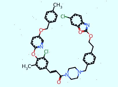 Cc1ccc(COc2ccc(Oc3c(C)cc(C=CC(=O)N4CCN(Cc5ccc(CCOc6nc7ccc(Cl)cc7o6)cc5)CC4)cc3Cl)nc2)cc1